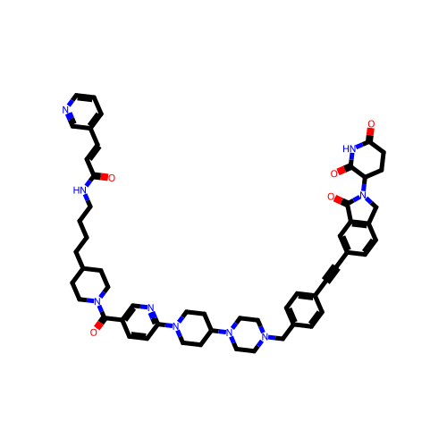 O=C(/C=C/c1cccnc1)NCCCCC1CCN(C(=O)c2ccc(N3CCC(N4CCN(Cc5ccc(C#Cc6ccc7c(c6)C(=O)N(C6CCC(=O)NC6=O)C7)cc5)CC4)CC3)nc2)CC1